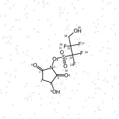 O=C1CC(O)C(=O)N1OS(=O)(=O)C(F)(F)C(F)(F)CO